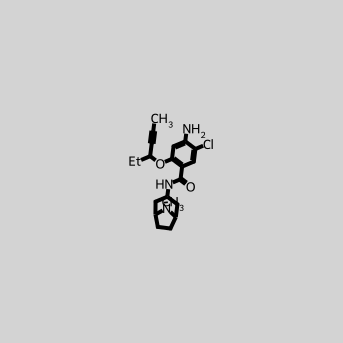 CC#CC(CC)Oc1cc(N)c(Cl)cc1C(=O)NC1CC2CCC(C1)N2C